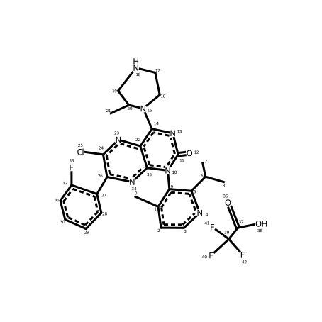 Cc1ccnc(C(C)C)c1-n1c(=O)nc(N2CCNCC2C)c2nc(Cl)c(-c3ccccc3F)nc21.O=C(O)C(F)(F)F